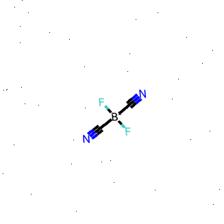 N#C[B-](F)(F)C#N